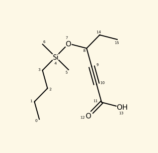 CCCC[Si](C)(C)OC(C#CC(=O)O)CC